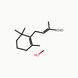 CC(C=O)=CCC1=C(C)CCCC1(C)C.CO